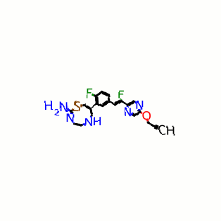 C#CCOc1cnc(/C(F)=C/c2ccc(F)c([C@H]3CNCC/N=C(/N)SC3)c2)cn1